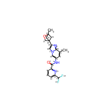 Cc1cc(NC(=O)c2cccc(C(F)F)n2)cn2cc(C34COC(C)(C3)C4)nc12